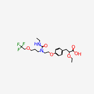 CCNC(=O)N(CCCOCC(F)(F)F)CCOc1ccc(CC(OCC)C(=O)O)cc1